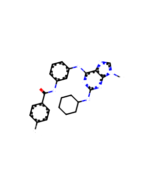 CC(C)n1cnc2c(Nc3cccc(NC(=O)c4ccc([N+](=O)[O-])cc4)c3)nc(NC3CCCCC3)nc21